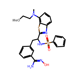 COCCN(C)c1cccc2nc(C(Cc3cccc(C(N)=NO)c3)NS(=O)(=O)c3ccccc3)sc12